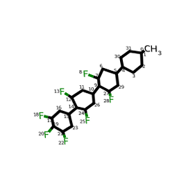 CC1CCC(C2CC(F)C(C3CC(F)C(C4CC(F)C(F)C(F)C4)C(F)C3)C(F)C2)CC1